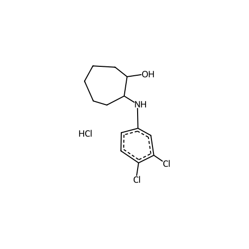 Cl.OC1CCCCCC1Nc1ccc(Cl)c(Cl)c1